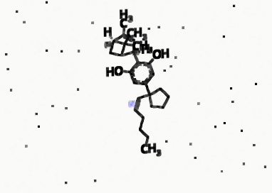 CCCC/C=C\C1(c2cc(O)c([C@@H]3C=C(C)[C@@H]4CC3C4(C)C)c(O)c2)CCCC1